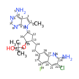 Cc1cc2c(N)ncnc2n1C1CC(CCc2cc(F)c3cc(Cl)c(N)nc3c2)[C@@H](OC(C)(C)O)C1